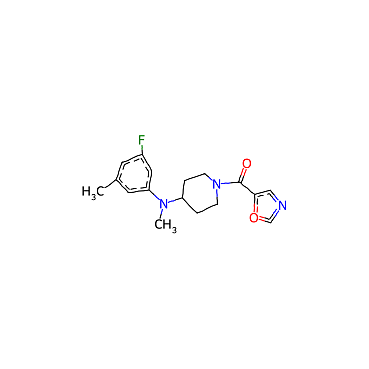 Cc1cc(F)cc(N(C)C2CCN(C(=O)c3cnco3)CC2)c1